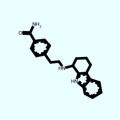 NC(=O)c1ccc(CCNC2CCCc3c2[nH]c2ccccc32)cc1